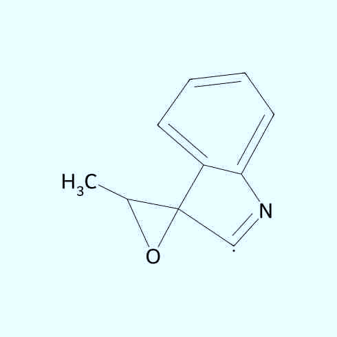 CC1OC12[C]=Nc1ccccc12